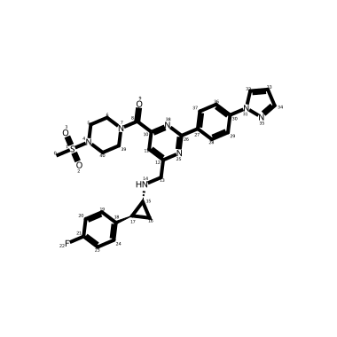 CS(=O)(=O)N1CCN(C(=O)c2cc(CN[C@@H]3C[C@H]3c3ccc(F)cc3)nc(-c3ccc(-n4cccn4)cc3)n2)CC1